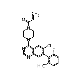 C=CC(=O)N1CCN(c2ncnc3cc(-c4c(C)cccc4F)c(Cl)cc23)CC1